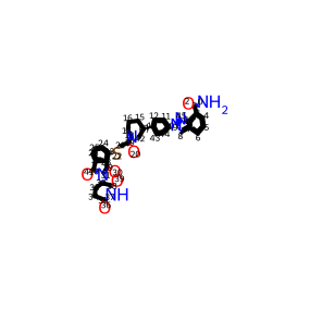 NC(=O)c1cccc2cn(-c3ccc([C@@H]4CCCN(C(=O)CSc5cccc6c5C(=O)N(C5CCC(=O)NC5=O)C6=O)C4)cc3)nc12